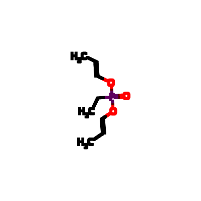 CC=COP(=O)(CC)OC=CC